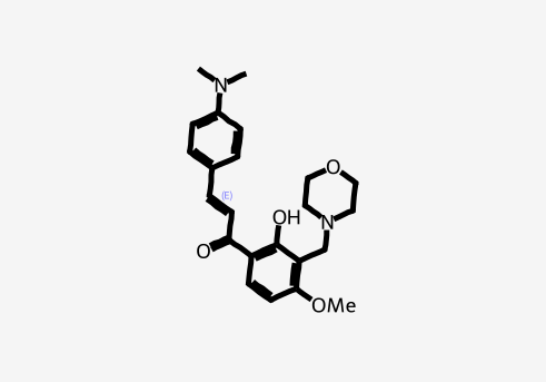 COc1ccc(C(=O)/C=C/c2ccc(N(C)C)cc2)c(O)c1CN1CCOCC1